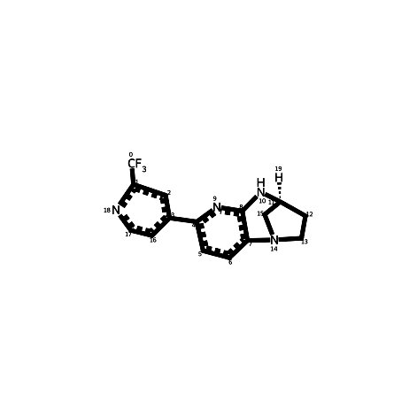 FC(F)(F)c1cc(-c2ccc3c(n2)N[C@H]2CCN3C2)ccn1